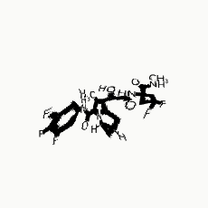 CNC(=O)C1(NC(=O)C(O)c2c(C)c(C(=O)Nc3cc(F)c(F)c(F)c3)n3c2C[C@H]2C[C@H]23)CC(F)(F)C1